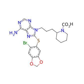 Nc1ncnc2c1nc(Sc1cc3c(cc1Br)OCO3)n2CCCC1CCCCN1C(=O)O